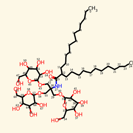 CCCCCCCCCCCCC(CCCCCCCCCCCC)C(=O)NC(COC1OC(CO)C(O)C(O)C1O)(COC1OC(CO)C(O)C(O)C1O)COC1OC(CO)C(O)C(O)C1O